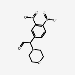 O=CC(c1ccc([N+](=O)[O-])c([N+](=O)[O-])c1)N1CCOCC1